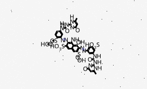 Cc1cc(=O)nc(NC(=O)Nc2ccc(SOOO)c(/N=N/c3c(S(=O)(=O)O)cc4cc(SOO)c(/N=N/c5cc(NC(=O)Nc6nc(=O)cc(C)[nH]6)ccc5S(=O)(=O)O)c(O)c4c3N)c2)[nH]1